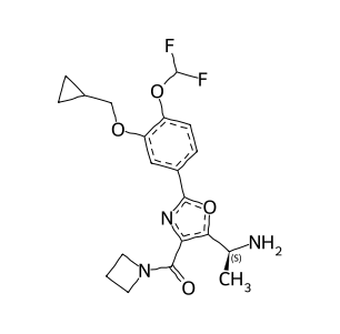 C[C@H](N)c1oc(-c2ccc(OC(F)F)c(OCC3CC3)c2)nc1C(=O)N1CCC1